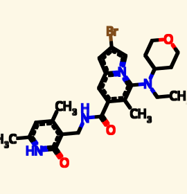 CCN(c1c(C)c(C(=O)NCc2c(C)cc(C)[nH]c2=O)cc2cc(Br)cn12)C1CCOCC1